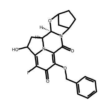 O=C1c2c(OCc3ccccc3)c(=O)c(I)c3n2[C@H](CC3O)[C@H]2OC3CCC(C3)N12